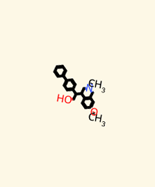 COc1ccc2c(c1)CN(C)CC2C(CO)c1ccc(-c2ccccc2)cc1